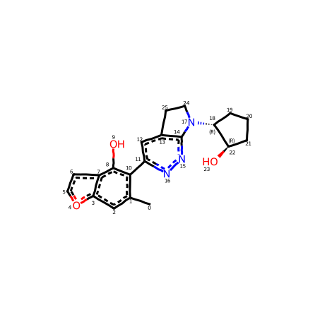 Cc1cc2occc2c(O)c1-c1cc2c(nn1)N([C@@H]1CCC[C@H]1O)CC2